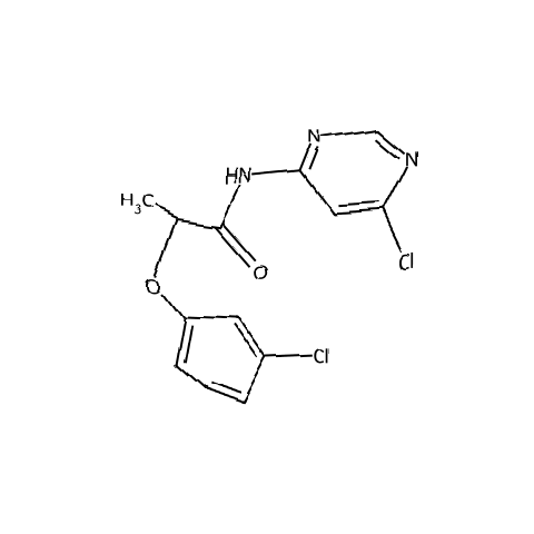 CC(Oc1cccc(Cl)c1)C(=O)Nc1cc(Cl)ncn1